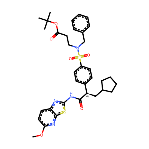 COc1ccc2nc(NC(=O)[C@H](CC3CCCC3)c3ccc(S(=O)(=O)N(CCC(=O)OC(C)(C)C)Cc4ccccc4)cc3)sc2n1